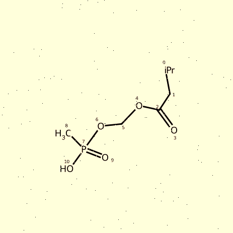 CC(C)CC(=O)OCOP(C)(=O)O